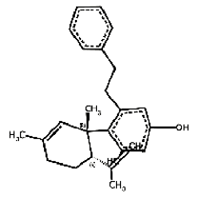 C=C(C)[C@@H]1CCC(C)=C[C@]1(C)c1c(O)cc(O)cc1CCc1ccccc1